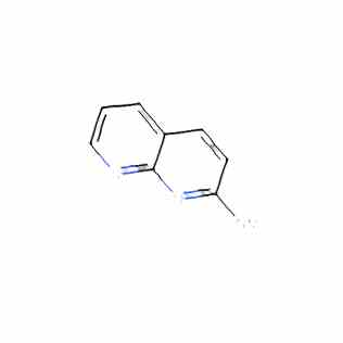 CNc1ccc2cccnc2n1